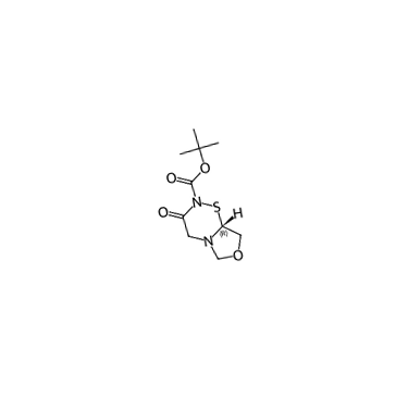 CC(C)(C)OC(=O)N1S[C@@H]2COCN2CC1=O